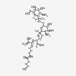 CCC(CC)(OCC1OC(C(CC)(CC)OCC(OC(OCCCNC(=O)CCCS)C(N)O)C(C)O)C(N)C(O)C1O)C1OC(CO)C(O)C(O)C1N